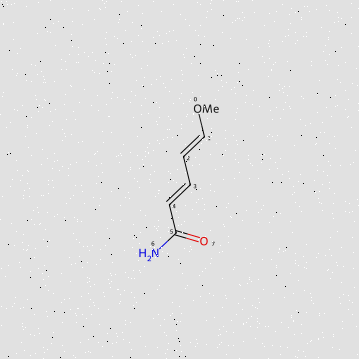 COC=CC=CC(N)=O